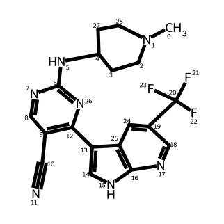 CN1CCC(Nc2ncc(C#N)c(-c3c[nH]c4ncc(C(F)(F)F)cc34)n2)CC1